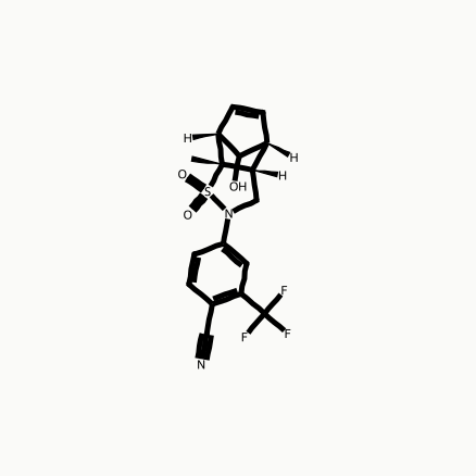 C[C@@]12[C@@H]3C=C[C@@H](C3O)[C@@H]1CN(c1ccc(C#N)c(C(F)(F)F)c1)S2(=O)=O